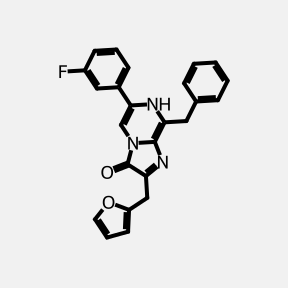 O=c1c(Cc2ccco2)nc2c(Cc3ccccc3)[nH]c(-c3cccc(F)c3)cn1-2